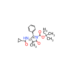 C[C@@H]1C(=O)N(C(=O)OC(C)(C)C)[C@H](c2ccccc2)[C@H]1NC(=O)C1CC1